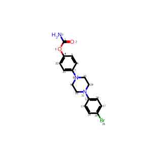 NC(=O)Oc1ccc(N2CCN(c3ccc(Br)cc3)CC2)cc1